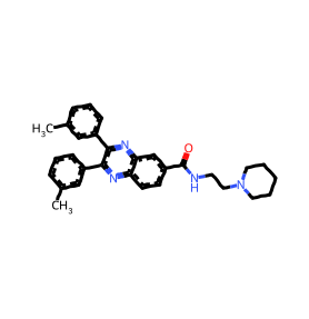 Cc1cccc(-c2nc3ccc(C(=O)NCCN4CCCCC4)cc3nc2-c2cccc(C)c2)c1